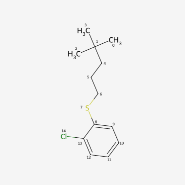 CC(C)(C)CCCSc1ccccc1Cl